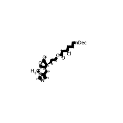 CCCCCCCCCCCCCC(Cl)CC(=O)OCCC[C@@H]1C(=O)OC[C@@H]1Cc1cncn1C